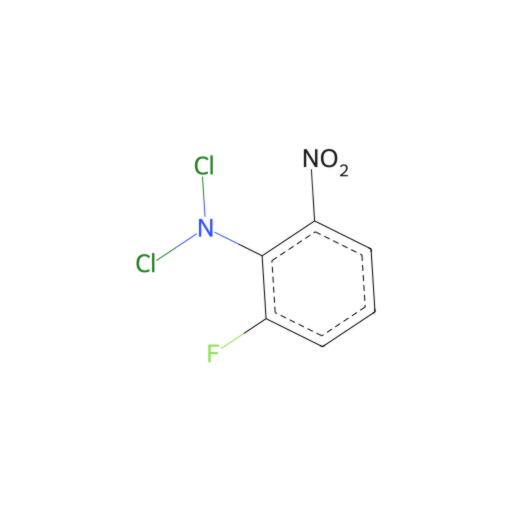 O=[N+]([O-])c1cccc(F)c1N(Cl)Cl